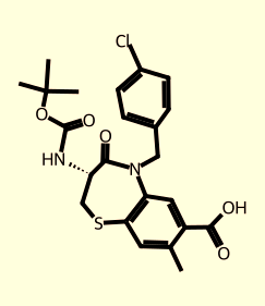 Cc1cc2c(cc1C(=O)O)N(Cc1ccc(Cl)cc1)C(=O)[C@@H](NC(=O)OC(C)(C)C)CS2